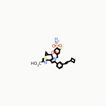 NS(=O)(=O)c1ccc(Cn2c(-c3cccc(C#CC4CCC4)c3)cc(-c3nc(C(=O)O)cs3)c2C(O)C2CC2)cc1F